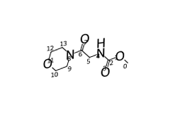 COC(=O)NCC(=O)N1CCOCC1